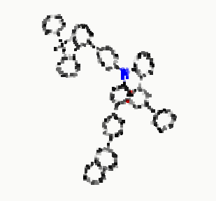 CC1(c2ccccc2)c2ccccc2-c2c(-c3ccc(N(c4ccc(-c5ccc(-c6ccc7ccccc7c6)cc5)cc4)c4ccccc4-c4cccc(-c5ccccc5)c4)cc3)cccc21